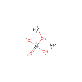 CO[As](=O)([O-])O.[Na+]